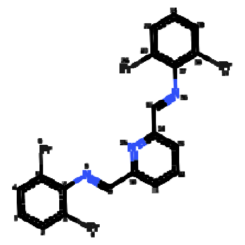 CC(C)c1cccc(C(C)C)c1/N=C/c1cccc(/C=N/c2c(C(C)C)cccc2C(C)C)n1